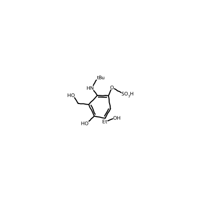 CC(C)(C)Nc1c(OS(=O)(=O)O)ccc(O)c1CO.CCO